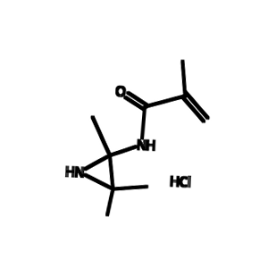 C=C(C)C(=O)NC1(C)NC1(C)C.Cl